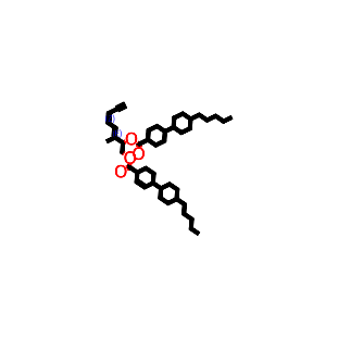 C#C/C=C\C=C(/C)C(COC(=O)C1C=CC(C2CCC(CCCCC)CC2)CC1)OC(=O)C1CCC(C2CCC(CCCCC)CC2)CC1